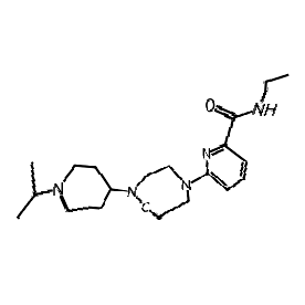 CCNC(=O)c1cccc(N2CCCN(C3CCN(C(C)C)CC3)CC2)n1